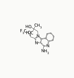 CC(C)(O)Cn1c(COC(F)(F)F)nc2c(N)nc3ccccc3c21